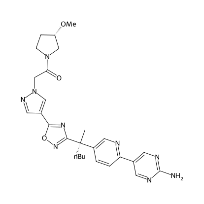 CCCC[C@](C)(c1ccc(-c2cnc(N)nc2)nc1)c1noc(-c2cnn(CC(=O)N3CC[C@H](OC)C3)c2)n1